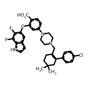 CC1(C)CCC(CN2CCN(c3ccc(C(=O)O)c(Oc4cc5cc[nH]c5c(F)c4F)c3)CC2)=C(c2ccc(Cl)cc2)C1